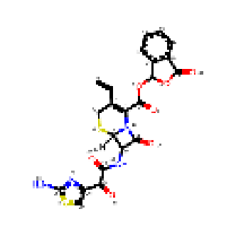 C=CC1=C(C(=O)OC2OC(=O)c3ccccc32)N2C(=O)C(NC(=O)C(=O)c3csc(N)n3)[C@@H]2SC1